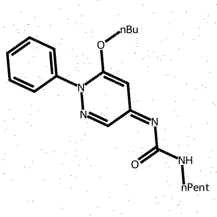 CCCCCNC(=O)N=c1cnn(-c2ccccc2)c(OCCCC)c1